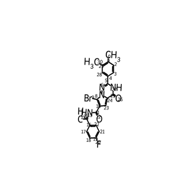 Cc1ccc(-c2nn3c(Br)c(C(=O)NC(C)c4ccc(F)cc4)cc3c(=O)[nH]2)cc1C